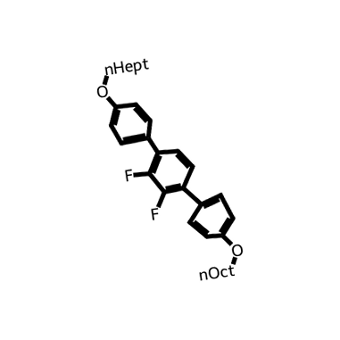 CCCCCCCCOc1ccc(-c2ccc(-c3ccc(OCCCCCCC)cc3)c(F)c2F)cc1